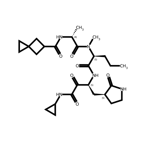 CCC[C@@H](C(=O)N[C@@H](C[C@@H]1CCNC1=O)C(=O)C(=O)NC1CC1)N(C)C(=O)[C@@H](C)NC(=O)C1CC2(CC2)C1